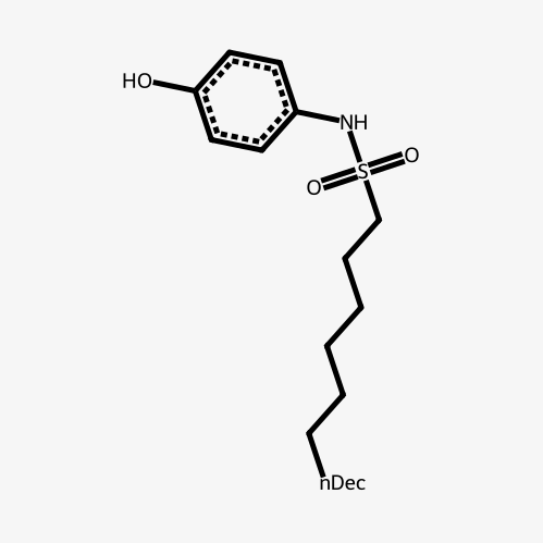 CCCCCCCCCCCCCCCCS(=O)(=O)Nc1ccc(O)cc1